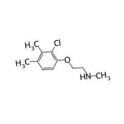 CNCCOc1ccc(C)c(C)c1Cl